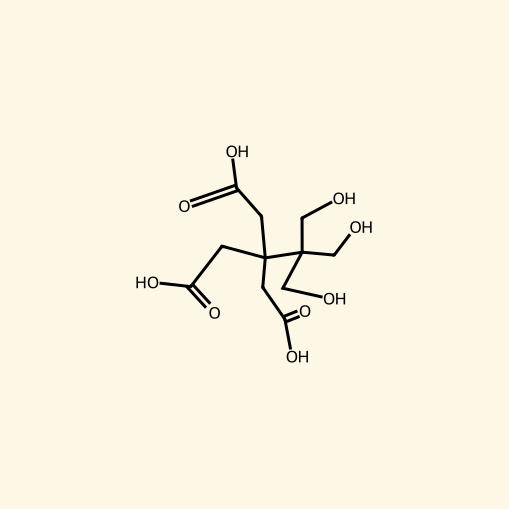 O=C(O)CC(CC(=O)O)(CC(=O)O)C(CO)(CO)CO